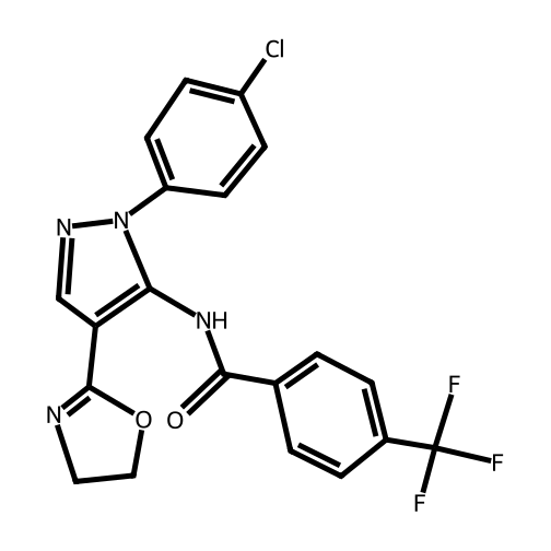 O=C(Nc1c(C2=NCCO2)cnn1-c1ccc(Cl)cc1)c1ccc(C(F)(F)F)cc1